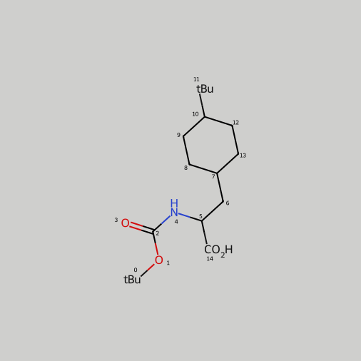 CC(C)(C)OC(=O)NC(CC1CCC(C(C)(C)C)CC1)C(=O)O